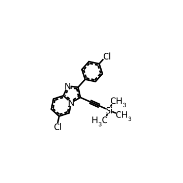 C[Si](C)(C)C#Cc1c(-c2ccc(Cl)cc2)nc2ccc(Cl)cn12